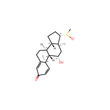 C[S+]([O-])[C@H]1CC[C@H]2[C@@H]3CCC4=CC(=O)C=C[C@]4(C)[C@H]3[C@@H](O)C[C@]12C